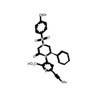 COc1ccc(S(=O)(=O)N2CC(=O)N(c3cc(C#CC(C)(C)C)sc3C(=O)O)[C@H](C3CCCCC3)C2)cc1